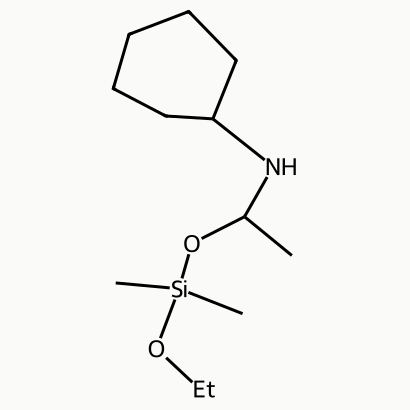 CCO[Si](C)(C)OC(C)NC1CCCCC1